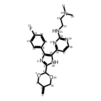 C=C1COC(c2nc(-c3ccc(F)cc3)c(-c3ccnc(NCCN(C)C)n3)[nH]2)OC1